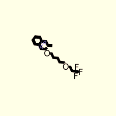 C=C/C=c1/cccc/c1=C/C(C)OCCCCCOCCC(F)(F)F